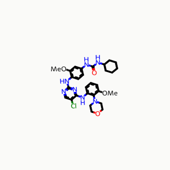 COc1cc(NC(=O)NC2CCCCC2)ccc1Nc1ncc(Cl)c(Nc2cccc(OC)c2N2CCOCC2)n1